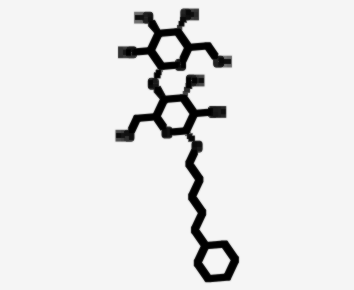 OCC1O[C@H](O[C@@H]2C(CO)O[C@@H](OCCCCCC3CCCCC3)C(O)[C@H]2O)C(O)[C@@H](O)[C@@H]1O